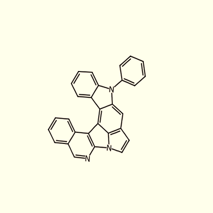 c1ccc(-n2c3ccccc3c3c4c5c6ccccc6cnc5n5ccc(cc32)c45)cc1